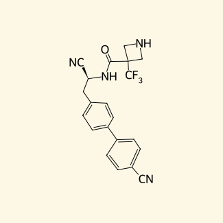 N#Cc1ccc(-c2ccc(C[C@@H](C#N)NC(=O)C3(C(F)(F)F)CNC3)cc2)cc1